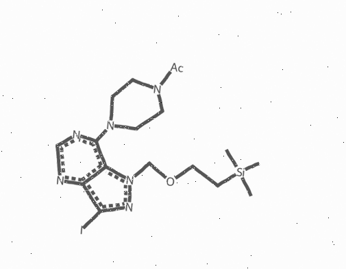 CC(=O)N1CCN(c2ncnc3c(I)nn(COCC[Si](C)(C)C)c23)CC1